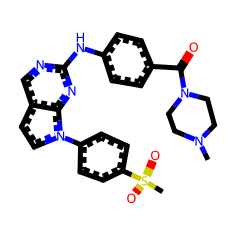 CN1CCN(C(=O)c2ccc(Nc3ncc4ccn(-c5ccc(S(C)(=O)=O)cc5)c4n3)cc2)CC1